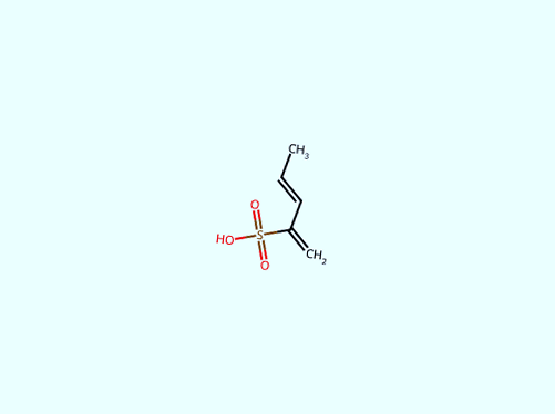 C=C(C=CC)S(=O)(=O)O